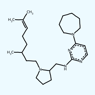 CC(C)=CCCC(C)CCN1CCCC1CNc1nccc(N2CCCCCC2)n1